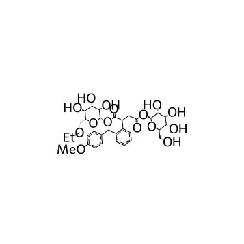 CCOC[C@H]1O[C@@H](OC(=O)C(CC(=O)O[C@@H]2O[C@H](CO)[C@@H](O)[C@H](O)[C@H]2O)c2ccccc2Cc2ccc(OC)cc2)[C@H](O)[C@@H](O)[C@@H]1O